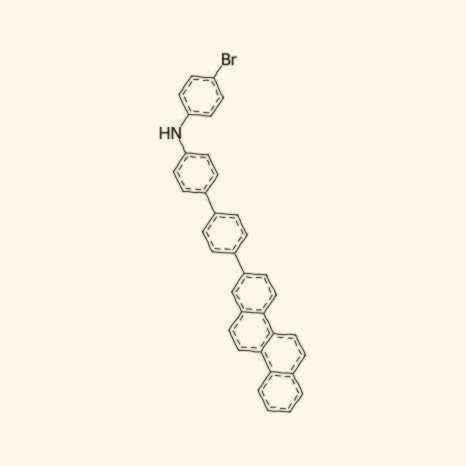 Brc1ccc(Nc2ccc(-c3ccc(-c4ccc5c(ccc6c7ccccc7ccc56)c4)cc3)cc2)cc1